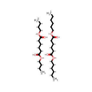 CCCCCCOC(=O)CCCCC(=O)OCCCCCC.CCCCOC(=O)CCCCC(=O)OCCCC